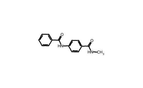 CNC(=O)c1ccc(NC(=O)c2ccccc2)cc1